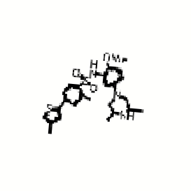 COc1ccc(N2CC(C)NC(C)C2)cc1NS(=O)(=O)c1ccc(-c2cc(C)cs2)cc1C